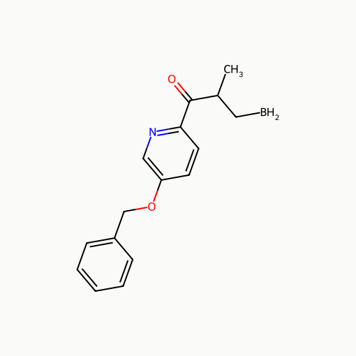 BCC(C)C(=O)c1ccc(OCc2ccccc2)cn1